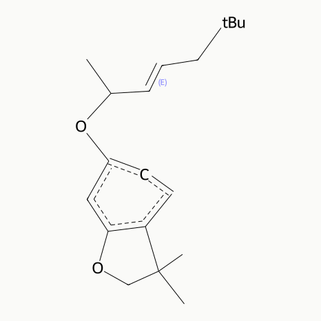 CC(/C=C/CC(C)(C)C)Oc1ccc2c(c1)OCC2(C)C